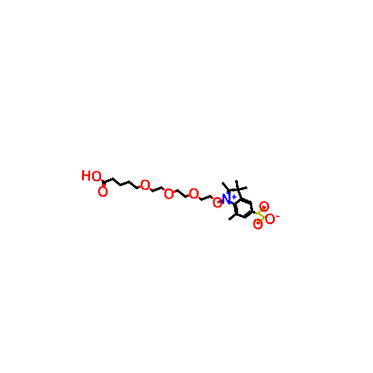 CC1=[N+](OCCOCCOCCOCCCCC(=O)O)c2c(C)cc(S(=O)(=O)[O-])cc2C1(C)C